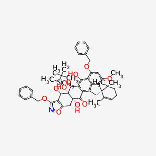 COc1cc(OCc2ccccc2)c2c(O)c3c(c4c2c1[C@]1(C4)C(C)=CCCC1(C)C)C(=O)[C@@]1(O)Cc2onc(OCc4ccccc4)c2C(O[Si](C)(C)C(C)(C)C)[C@@]1(O)C3=O